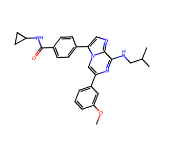 COc1cccc(-c2cn3c(-c4ccc(C(=O)NC5CC5)cc4)cnc3c(NCC(C)C)n2)c1